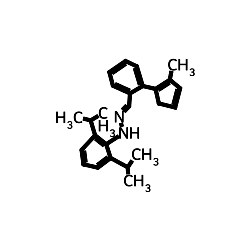 CC1=C(c2ccccc2C=NNc2c(C(C)C)cccc2C(C)C)CC=C1